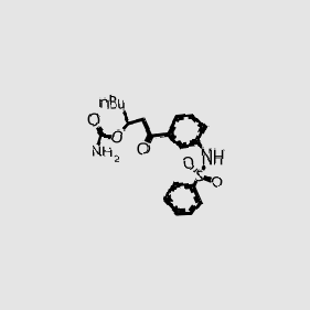 CCCCC(CC(=O)c1cccc(NS(=O)(=O)c2ccccc2)c1)OC(N)=O